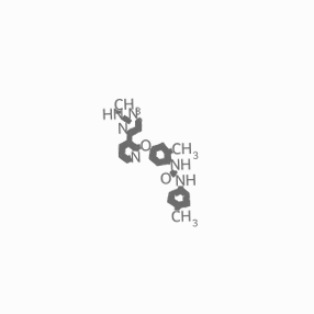 CNc1nccc(-c2cccnc2Oc2ccc(NC(=O)Nc3ccc(C)cc3)c(C)c2)n1